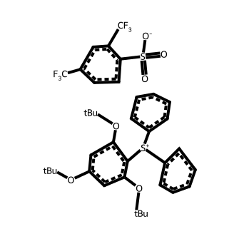 CC(C)(C)Oc1cc(OC(C)(C)C)c([S+](c2ccccc2)c2ccccc2)c(OC(C)(C)C)c1.O=S(=O)([O-])c1ccc(C(F)(F)F)cc1C(F)(F)F